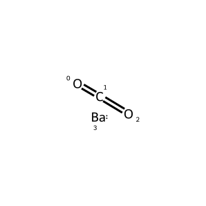 O=C=O.[Ba]